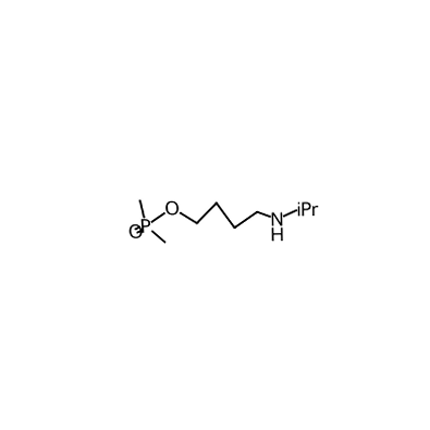 CC(C)NCCCCOP(C)(C)=O